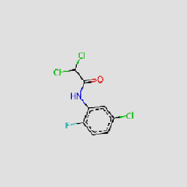 O=C(Nc1cc(Cl)ccc1F)C(Cl)Cl